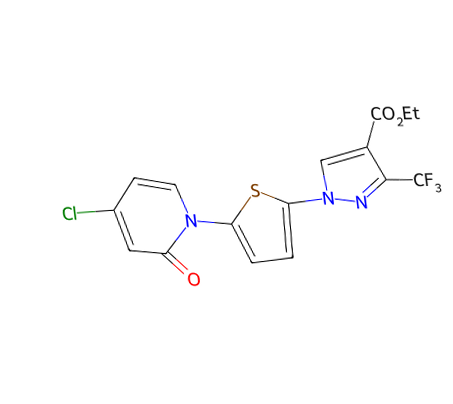 CCOC(=O)c1cn(-c2ccc(-n3ccc(Cl)cc3=O)s2)nc1C(F)(F)F